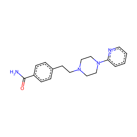 NC(=O)c1ccc(CCN2CCN(c3ccccn3)CC2)cc1